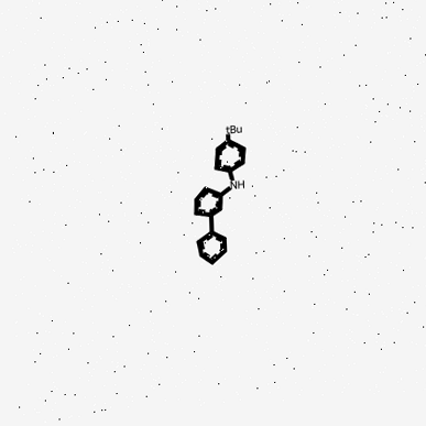 CC(C)(C)c1ccc(Nc2cccc(-c3ccccc3)c2)cc1